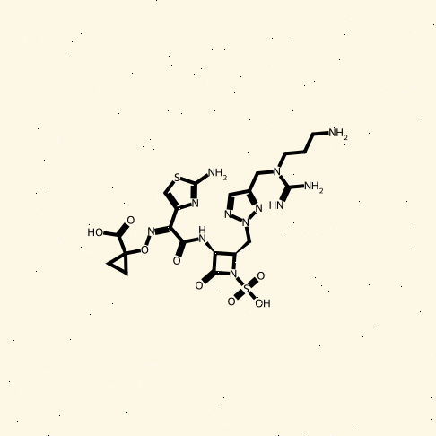 N=C(N)N(CCCN)Cc1cnn(C[C@@H]2[C@H](NC(=O)/C(=N\OC3(C(=O)O)CC3)c3csc(N)n3)C(=O)N2S(=O)(=O)O)n1